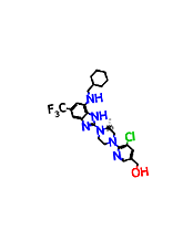 C[C@@H]1CN(c2ncc(CO)cc2Cl)CCN1c1nc2cc(C(F)(F)F)cc(NCC3CCCCC3)c2[nH]1